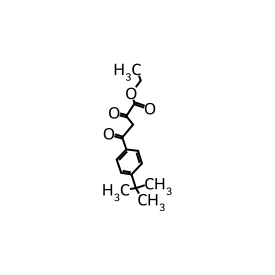 CCOC(=O)C(=O)CC(=O)c1ccc(C(C)(C)C)cc1